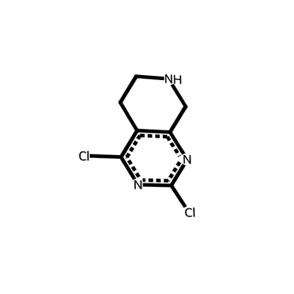 Clc1nc(Cl)c2c(n1)CNCC2